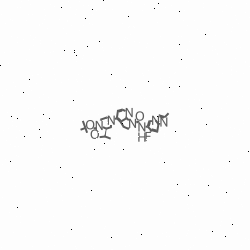 Cc1cn2cc(NC(=O)N3CCc4c(N5CCN(C(=O)OC(C)(C)C)[C@H](C(C)C)C5)ccnc43)c(F)cc2n1